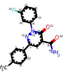 Cc1ccc(-c2cc(C(N)=O)c(=O)n(-c3cccc(F)c3)n2)cc1